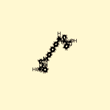 O=C(O)N[C@@H](C(=O)N1CCC[C@H]1c1nc(-c2ccc(-c3ccc(-c4ccc(-c5c[nH]c([C@@H]6CCCN6C(=O)[C@H](NC(=O)O)c6ccccc6)n5)cc4)cc3)cc2)c[nH]1)c1ccccc1